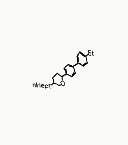 CCCCCCCC1CCC(c2ccc(-c3ccc(CC)cc3)cc2)OC1